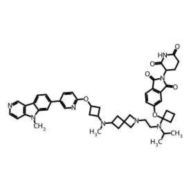 CC(C)N(CCN1CC2(CC(N(C)C3CC(Oc4ccc(-c5ccc6c7cnccc7n(C)c6c5)cn4)C3)C2)C1)C1(Oc2ccc3c(c2)C(=O)N(C2CCC(=O)NC2=O)C3=O)CCC1